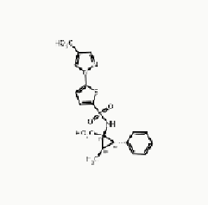 C[C@@H]1[C@@H](c2ccccc2)[C@]1(NS(=O)(=O)c1ccc(-n2cc(C(=O)O)cn2)s1)C(=O)O